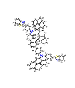 c1ccc(C2(c3ccccc3)c3cc(-c4ccc(N(c5ccc(-c6nc7ccccc7s6)cc5)c5cc6cccc7ccc8cccc5c8c76)cc4)ccc3-c3ccc(N(c4ccc(-c5nc6ccccc6s5)cc4)c4cc5cccc6ccc7cccc4c7c65)cc32)cc1